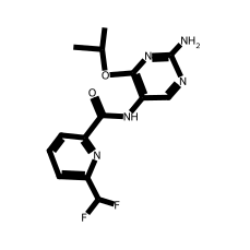 CC(C)Oc1nc(N)ncc1NC(=O)c1cccc(C(F)F)n1